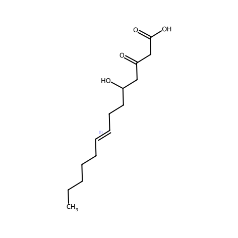 CCCCC/C=C/CCC(O)CC(=O)CC(=O)O